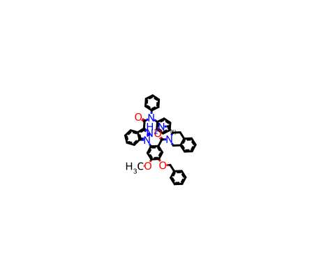 COc1cc(-n2nc(C(=O)N(c3ccccc3)c3ccccc3)c3ccccc32)c(C(=O)N2Cc3ccccc3C[C@H]2CN)cc1OCc1ccccc1